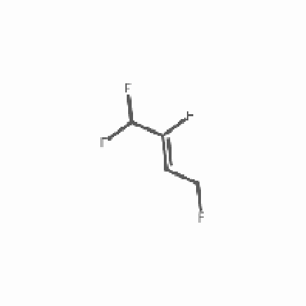 FC/C=C(\F)C(F)F